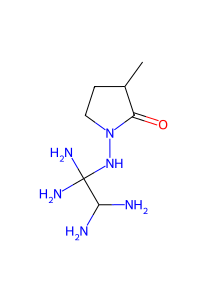 CC1CCN(NC(N)(N)C(N)N)C1=O